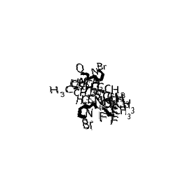 CC(C)(C)[S@@+]([O-])N[C@@](C)(CC=O)c1nc(Br)ccc1Cl.CC(C)(C)[S@@+]([O-])N[C@@](C)(C[C@H](O[Si](C)(C)C)C(F)(F)F)c1nc(Br)ccc1Cl